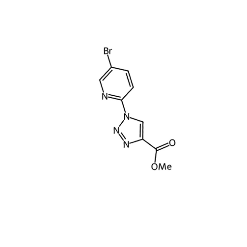 COC(=O)c1cn(-c2ccc(Br)cn2)nn1